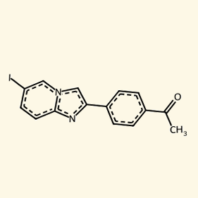 CC(=O)c1ccc(-c2cn3cc(I)ccc3n2)cc1